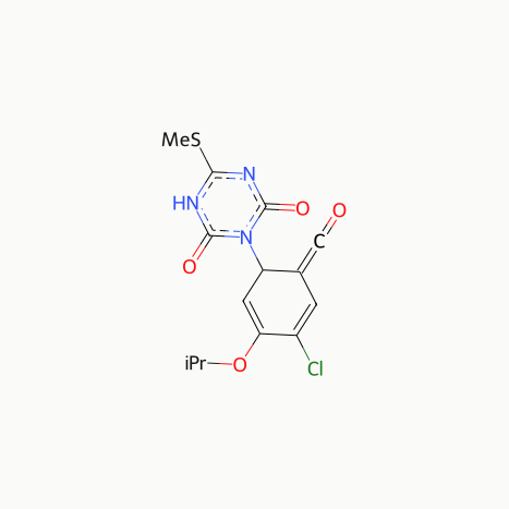 CSc1nc(=O)n(C2C=C(OC(C)C)C(Cl)=CC2=C=O)c(=O)[nH]1